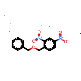 O=[N+]([O-])c1ccc(COCc2ccccc2)c([N+](=O)[O-])c1